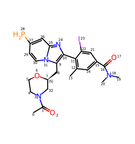 CC(=O)N1CCO[C@@H](Cc2c(-c3c(C)cc(C(=O)N(C)C)cc3I)nc3cc(P)ccn23)C1